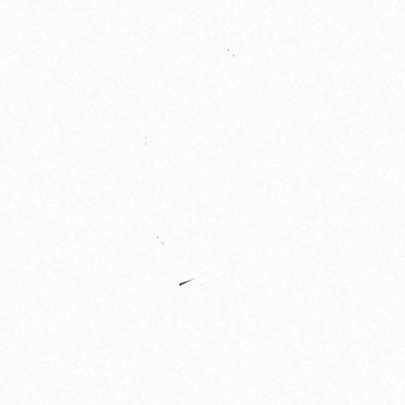 CCN(Cc1ccc(OCC(C)(C)N(C)C)c(F)c1)c1cc(OC)c(OC)cc1[C@@H]1CCc2cc(O)ccc2C1